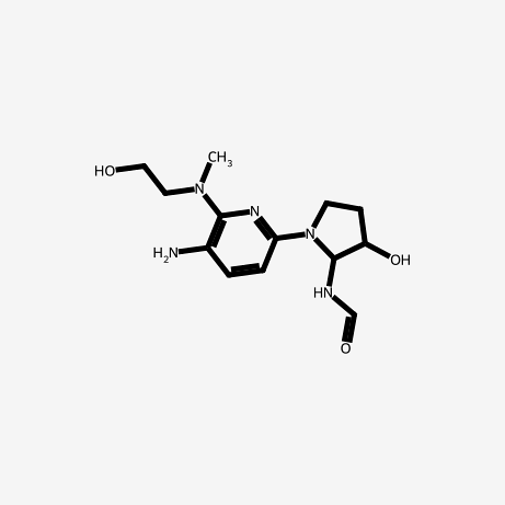 CN(CCO)c1nc(N2CCC(O)C2NC=O)ccc1N